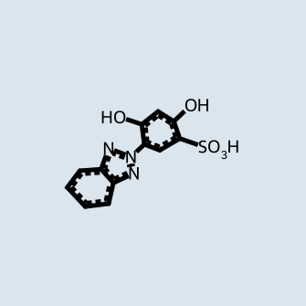 O=S(=O)(O)c1cc(-n2nc3ccccc3n2)c(O)cc1O